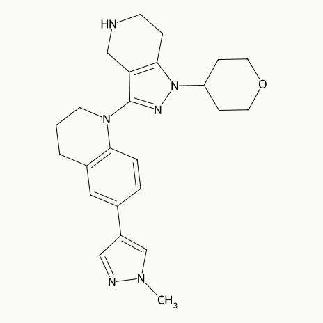 Cn1cc(-c2ccc3c(c2)CCCN3c2nn(C3CCOCC3)c3c2CNCC3)cn1